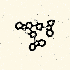 [2H]c1cc(-n2c3ccccc3c3ccccc32)ccc1-c1ccc2c([nH]c3ccccc32)c1-c1ccc(-n2c3ccccc3c3ccccc32)cc1[2H]